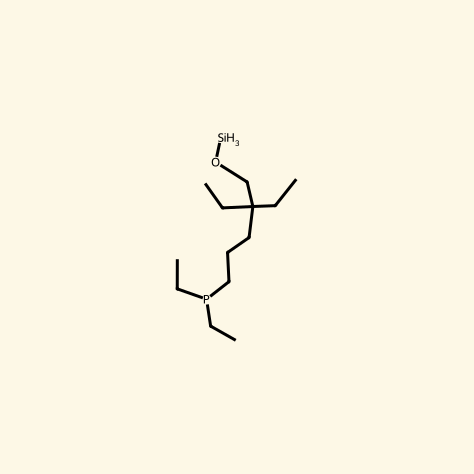 CCP(CC)CCCC(CC)(CC)CO[SiH3]